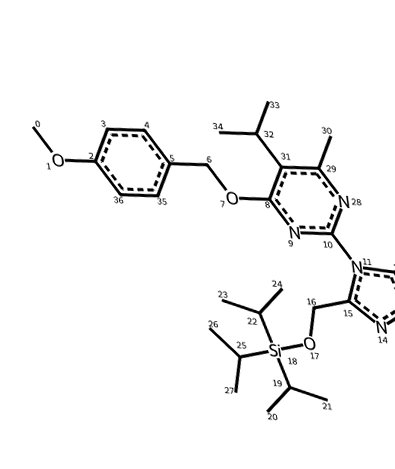 COc1ccc(COc2nc(-n3ccnc3CO[Si](C(C)C)(C(C)C)C(C)C)nc(C)c2C(C)C)cc1